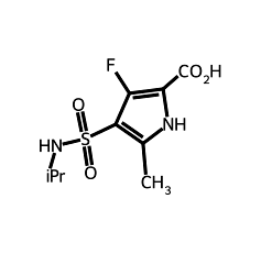 Cc1[nH]c(C(=O)O)c(F)c1S(=O)(=O)NC(C)C